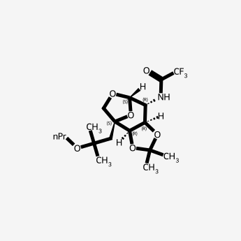 CCCOC(C)(C)C[C@@]12CO[C@@H](O1)[C@H](NC(=O)C(F)(F)F)[C@H]1OC(C)(C)O[C@H]12